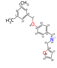 Cc1cc(C)cc(COc2ccc(/C=N\Cc3ccco3)cc2)c1